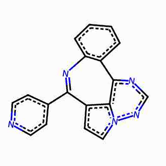 c1ccc2c(c1)N=C(c1ccncc1)c1ccn3ncnc-2c13